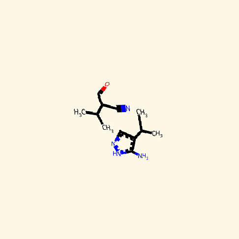 CC(C)C(C#N)C=O.CC(C)c1cn[nH]c1N